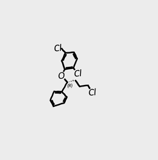 ClCCC[C@@H](Oc1cc(Cl)ccc1Cl)c1ccccc1